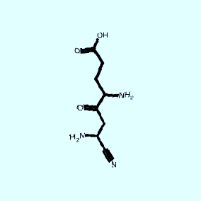 N#CC(N)CC(=O)C(N)CCC(=O)O